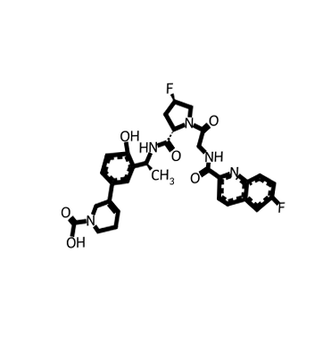 C[C@H](NC(=O)[C@@H]1C[C@@H](F)CN1C(=O)CNC(=O)c1ccc2cc(F)ccc2n1)c1cc(C2=CCCN(C(=O)O)C2)ccc1O